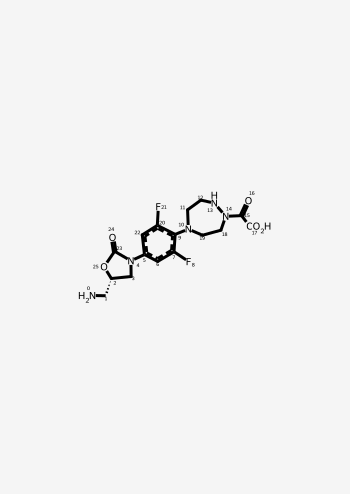 NC[C@H]1CN(c2cc(F)c(N3CCNN(C(=O)C(=O)O)CC3)c(F)c2)C(=O)O1